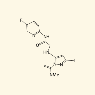 C=C(NC)n1nc(I)cc1NCC(=O)Nc1ccc(F)cn1